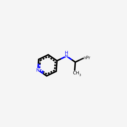 CCCC(C)Nc1ccncc1